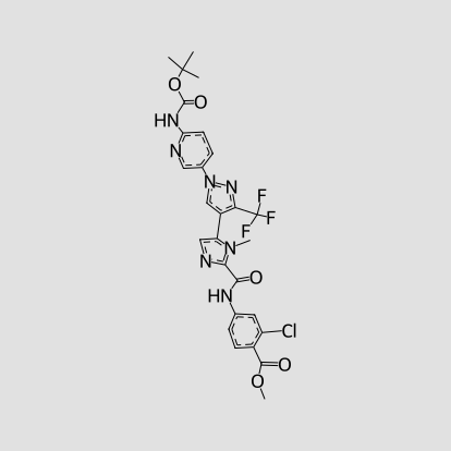 COC(=O)c1ccc(NC(=O)c2ncc(-c3cn(-c4ccc(NC(=O)OC(C)(C)C)nc4)nc3C(F)(F)F)n2C)cc1Cl